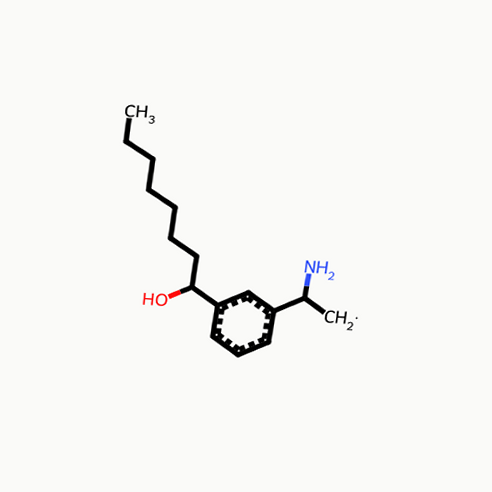 [CH2]C(N)c1cccc(C(O)CCCCCCC)c1